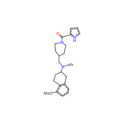 CCCN(CC1CCN(C(=O)c2ccc[nH]2)CC1)C1CCc2c(cccc2OC)C1